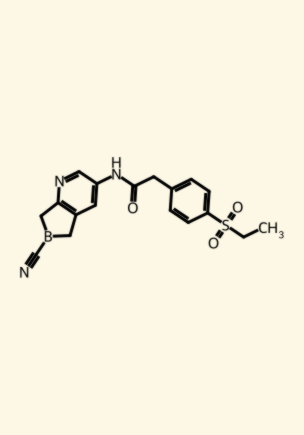 CCS(=O)(=O)c1ccc(CC(=O)Nc2cnc3c(c2)CB(C#N)C3)cc1